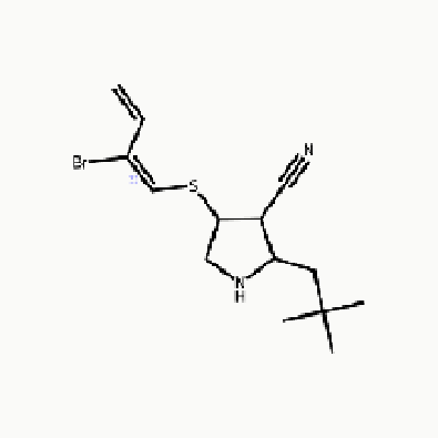 C=C/C(Br)=C\SC1CNC(CC(C)(C)C)C1C#N